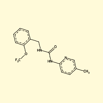 Cc1ccc(NC(=O)NCc2ccccc2OC(F)(F)F)nc1